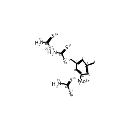 Cc1cc(C)c[c]([Mo+3])c1.NC(=S)[S-].NC(=S)[S-].NC(=S)[S-]